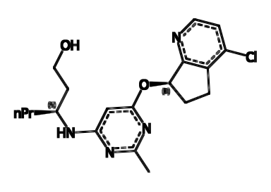 CCC[C@@H](CCO)Nc1cc(O[C@@H]2CCc3c(Cl)ccnc32)nc(C)n1